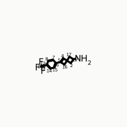 NC1CC2(C=C(c3ccc(C(F)(F)F)cc3)C2)C1